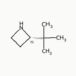 CC(C)(C)[C@@H]1CCN1